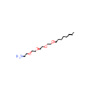 CCCCCCCCOCCOCCOCCOCCN